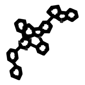 c1ccc(-c2cccc(-c3nc(-c4ccccc4)nc(-c4ccccc4-n4c5ccccc5c5cc(-c6cccc7c6oc6ccccc67)ccc54)n3)c2)cc1